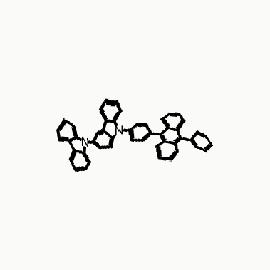 c1ccc(-c2c3ccccc3c(-c3ccc(-n4c5ccccc5c5cc(-n6c7ccccc7c7ccccc76)ccc54)cc3)c3ccccc23)cc1